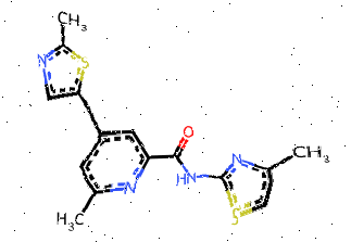 Cc1cc(-c2cnc(C)s2)cc(C(=O)Nc2nc(C)cs2)n1